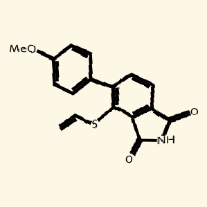 C=CSc1c(-c2ccc(OC)cc2)ccc2c1C(=O)NC2=O